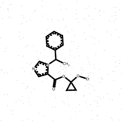 CCOC1(OC(=O)c2cncn2C(C)c2ccccc2)CC1